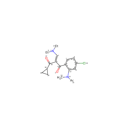 CCN(/C=C(/C(=O)c1ccc(Cl)cc1N(C)C(C)=O)C(=O)C1CC1)CC